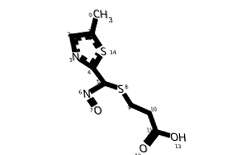 Cc1cnc(C(N=O)SCCC(=O)O)s1